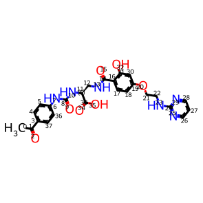 CC(=O)c1ccc(NC(=O)N[C@@H](CNC(=O)c2ccc(OCCNc3ncccn3)cc2O)C(=O)O)cc1